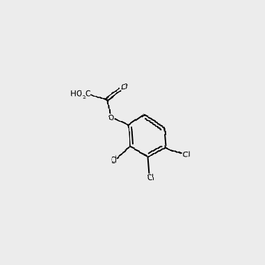 O=C(O)C(=O)Oc1ccc(Cl)c(Cl)c1Cl